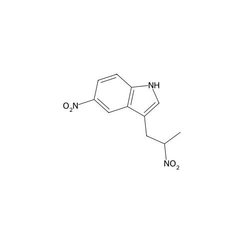 CC(Cc1c[nH]c2ccc([N+](=O)[O-])cc12)[N+](=O)[O-]